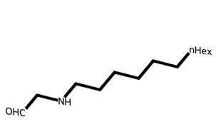 CCCCCCCCCCCCNCC=O